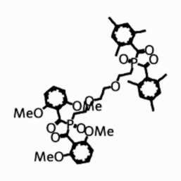 COc1cccc(OC)c1C(=O)P(=O)(CCOCCOCCP(=O)(C(=O)c1c(C)cc(C)cc1C)C(=O)c1c(C)cc(C)cc1C)C(=O)c1c(OC)cccc1OC